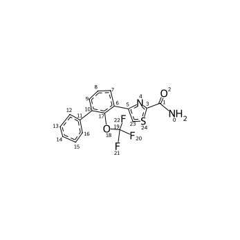 NC(=O)c1nc(-c2cccc(-c3ccccc3)c2OC(F)(F)F)cs1